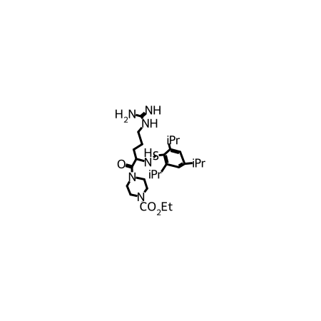 CCOC(=O)N1CCN(C(=O)C(CCCNC(=N)N)NSc2c(C(C)C)cc(C(C)C)cc2C(C)C)CC1